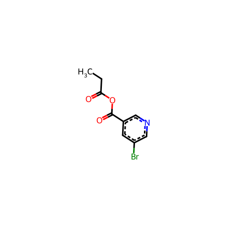 CCC(=O)OC(=O)c1cncc(Br)c1